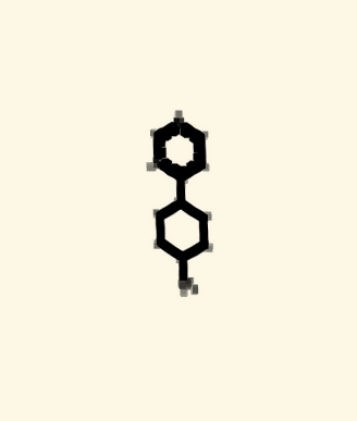 FC(F)(F)C1CCC(c2ccncn2)CC1